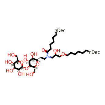 CCCCCCCCCCCCCCCCOCC(O)CN(CC[C@@H]1O[C@H](CO)[C@@H](O[C@@H]2O[C@H](CO)[C@H](O)[C@H](O)[C@H]2O)[C@H](O)[C@H]1O)C(=O)CCCCCCCCCCCCCCC